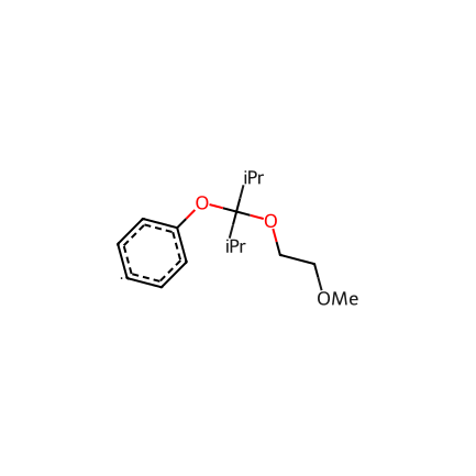 COCCOC(Oc1cc[c]cc1)(C(C)C)C(C)C